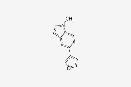 Cn1ccc2cc(-c3ccoc3)ccc21